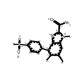 Cc1cc2c(nc(C(N)=O)n2C)c(-c2ccc(S(C)(=O)=O)cc2)c1C